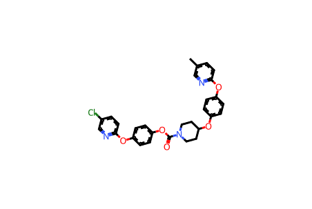 Cc1ccc(Oc2ccc(OC3CCN(C(=O)Oc4ccc(Oc5ccc(Cl)cn5)cc4)CC3)cc2)nc1